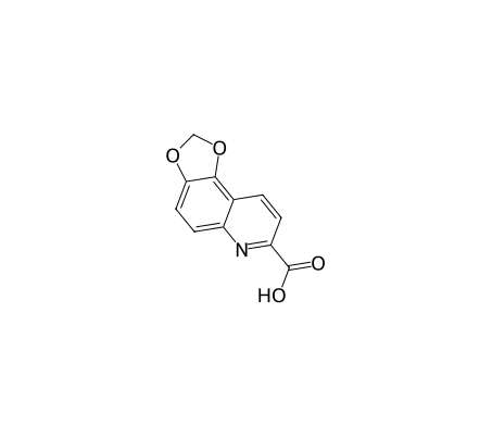 O=C(O)c1ccc2c3c(ccc2n1)OCO3